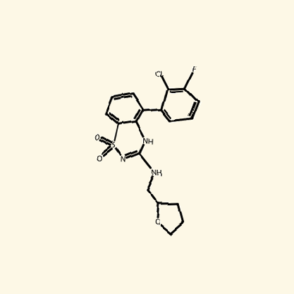 O=S1(=O)N=C(NCC2CCCO2)Nc2c(-c3cccc(F)c3Cl)cccc21